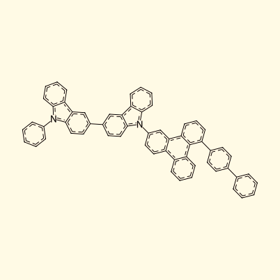 c1ccc(-c2ccc(-c3cccc4c5cc(-n6c7ccccc7c7cc(-c8ccc9c(c8)c8ccccc8n9-c8ccccc8)ccc76)ccc5c5ccccc5c34)cc2)cc1